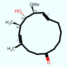 CO[C@H]1/C=C/CCCCC(=O)CC/C(C)=C\[C@@H](C)[C@@H]1O